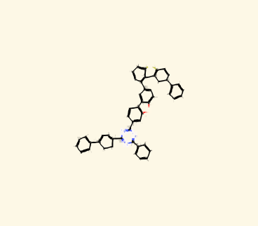 C1=CC(c2ccccc2)Cc2c1sc1cccc(-c3ccc4oc5cc(-c6nc(C7=CC=C(c8ccccc8)CC7)nc(-c7ccccc7)n6)ccc5c4c3)c21